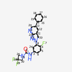 O=C(Nc1ccc(F)c(-n2cc3cc(-c4ccccc4)cnc3n2)c1)N1CC(F)(F)C1